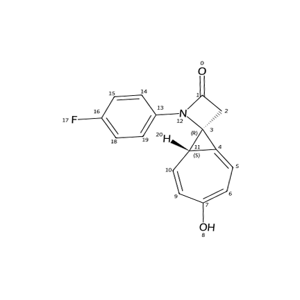 O=C1C[C@@]2(C3=CC=C(O)C=C[C@@H]32)N1c1ccc(F)cc1